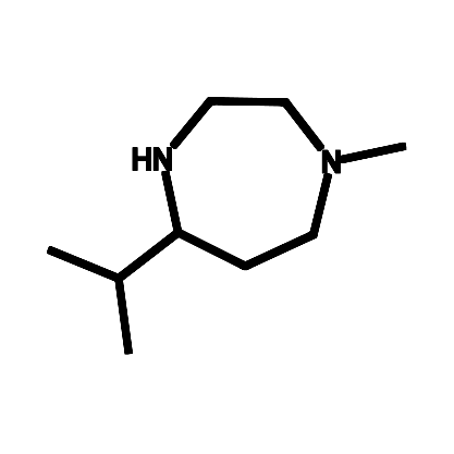 CC(C)C1CCN(C)CCN1